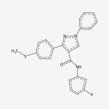 CSc1ccc(-c2nn(-c3ccccc3)cc2C(=O)Nc2cccc(F)c2)cc1